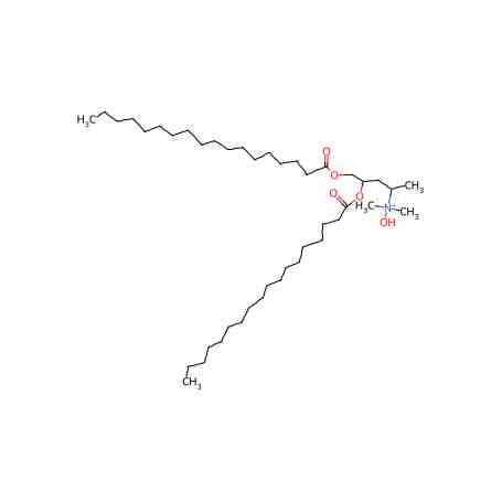 CCCCCCCCCCCCCCCCCC(=O)OCC(CC(C)[N+](C)(C)O)OC(=O)CCCCCCCCCCCCCCCCC